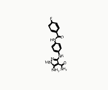 NC(=O)c1c(Nc2ccc(NC(=O)c3ccc(F)cc3)cc2)n[nH]c1N